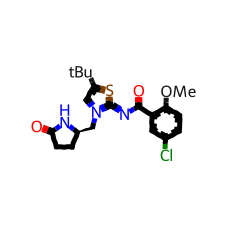 COc1ccc(Cl)cc1C(=O)/N=c1\sc(C(C)(C)C)cn1C[C@H]1CCC(=O)N1